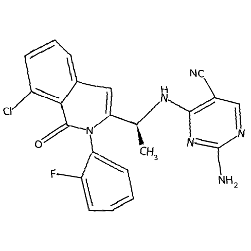 C[C@H](Nc1nc(N)ncc1C#N)c1cc2cccc(Cl)c2c(=O)n1-c1ccccc1F